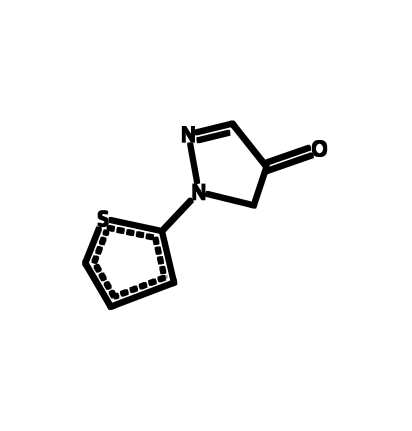 O=C1C=NN(c2cccs2)C1